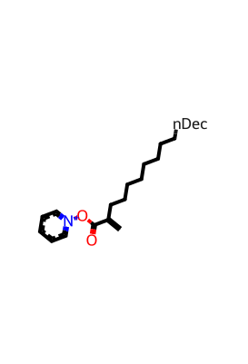 C=C(CCCCCCCCCCCCCCCCCC)C(=O)O[n+]1ccccc1